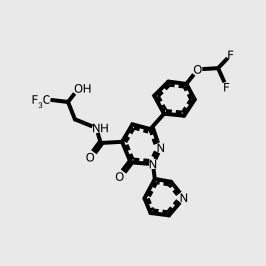 O=C(NCC(O)C(F)(F)F)c1cc(-c2ccc(OC(F)F)cc2)nn(-c2cccnc2)c1=O